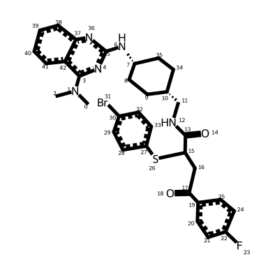 CN(C)c1nc(N[C@H]2CC[C@@H](CNC(=O)C(CC(=O)c3ccc(F)cc3)Sc3ccc(Br)cc3)CC2)nc2ccccc12